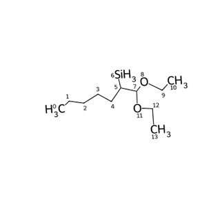 CCCCCC([SiH3])C(OCC)OCC